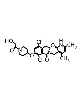 Cc1cc(C)c(CN2CCc3c(Cl)cc(OC4CCN(C(=O)CO)CC4)c(Cl)c3C2=O)c(=O)[nH]1